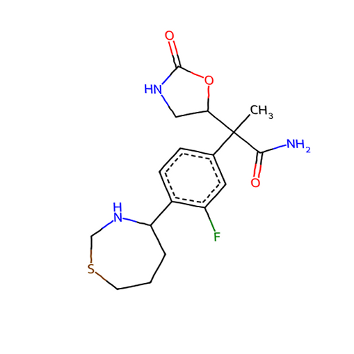 CC(C(N)=O)(c1ccc(C2CCCSCN2)c(F)c1)C1CNC(=O)O1